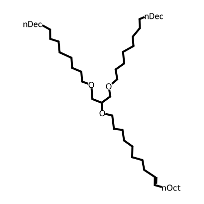 CCCCCCCCC=CCCCCCCCCOC(COCCCCCCCCCCCCCCCCCC)COCCCCCCCCCCCCCCCCCC